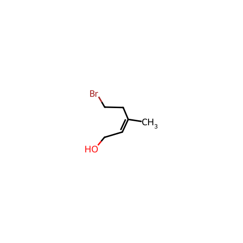 CC(=CCO)CCBr